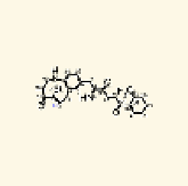 CC/C1=C\Cc2cc(CC(=N)C(=O)CCC(=O)C3=CCCC[C@@H]3C(F)(F)F)ccc2NCCC1=O